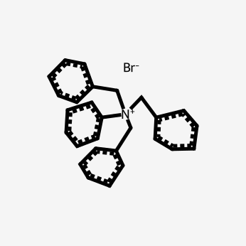 [Br-].c1ccc(C[N+](Cc2ccccc2)(Cc2ccccc2)c2ccccc2)cc1